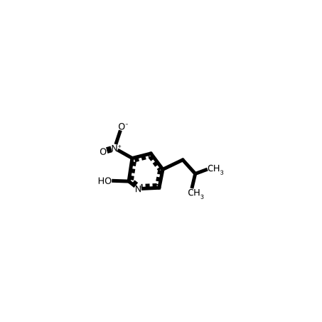 CC(C)Cc1cnc(O)c([N+](=O)[O-])c1